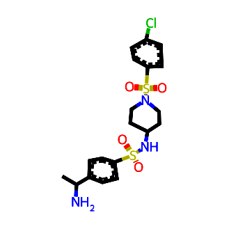 CC(N)c1ccc(S(=O)(=O)NC2CCN(S(=O)(=O)c3ccc(Cl)cc3)CC2)cc1